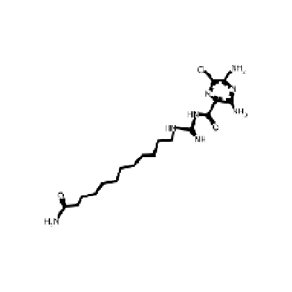 N=C(NCCCCCCCCCCCC(N)=O)NC(=O)c1nc(Cl)c(N)nc1N